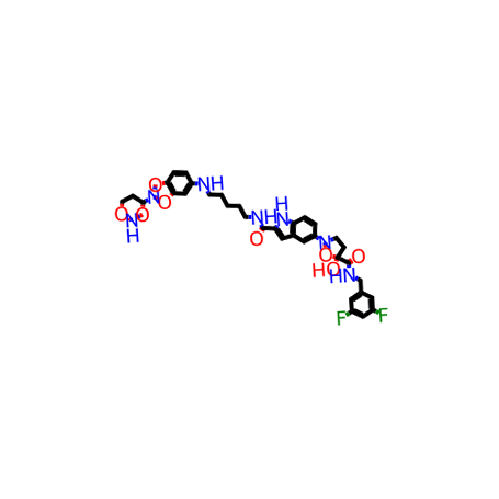 O=C(NCCCCCNc1ccc2c(c1)ON(C1CCONO1)O2)c1cc2cc(N3CCC(O)(C(=O)NCc4cc(F)cc(F)c4)O3)ccc2[nH]1